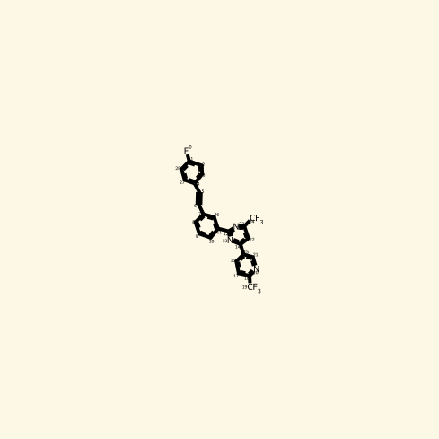 Fc1ccc(C#Cc2cccc(-c3nc(-c4ccc(C(F)(F)F)nc4)cc(C(F)(F)F)n3)c2)cc1